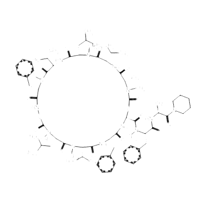 CC(C)C[C@H]1C(=O)N(C)[C@@H](C(C)C)C(=O)N[C@@H](Cc2ccccc2)C(=O)N[C@H](C(=O)N(C)[C@@H](Cc2ccccc2)C(=O)N[C@@H](C)C(=O)N2CCCCC2)CC(=O)N(C)[C@@H](C)C(=O)N[C@@H](C(C)C)C(=O)N(C)[C@@H](CC(C)C)C(=O)N[C@@H]([C@@H](C)O)C(=O)N(C)[C@@H](Cc2ccccc2)C(=O)NCC(=O)N1C